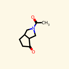 CC(=O)N1CC2CCC(=O)C2C1